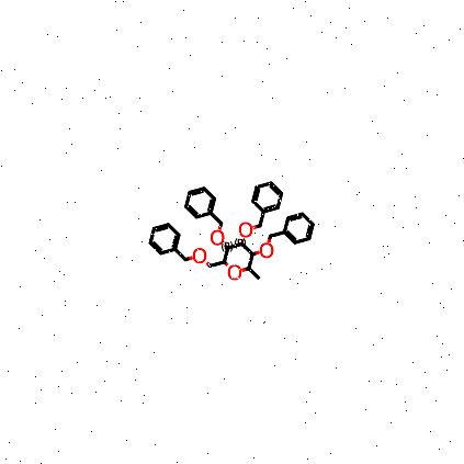 CC1OC(COCc2ccccc2)[C@@H](OCc2ccccc2)[C@H](OCc2ccccc2)C1OCc1ccccc1